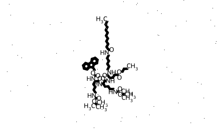 CCCCCCCCCCCC(=O)NCCCCCCNC(=O)C(CCC(=O)OCCCC)NC(=O)C(CCCCNC(=O)OC(C)(C)C)NC(=O)C(CCCCNC(=O)OC(C)(C)C)NC(=O)OCC1c2ccccc2-c2ccccc21